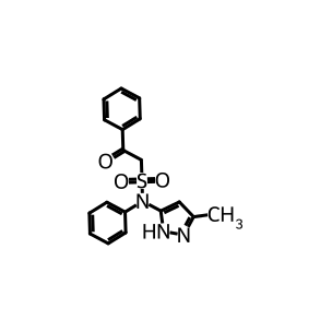 Cc1cc(N(c2ccccc2)S(=O)(=O)CC(=O)c2ccccc2)[nH]n1